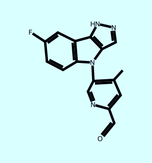 Cc1cc(C=O)ncc1-n1c2ccc(F)cc2c2[nH]ncc21